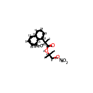 CO[C@](C)(C(=O)OC(C)(C)CO[N+](=O)[O-])c1cccc2ccccc12